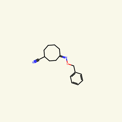 N#CC1CCCC/C(=N/OCc2ccccc2)CC1